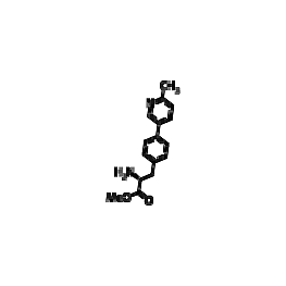 COC(=O)[C@@H](N)Cc1ccc(-c2ccc(C)nc2)cc1